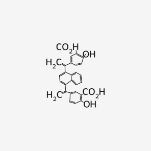 C=C(c1ccc(O)c(C(=O)O)c1)c1ccc(C(=C)c2ccc(O)c(C(=O)O)c2)c2ccccc12